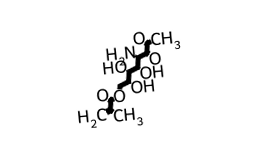 C=C(C)C(=O)OC[C@@H](O)[C@H](O)[C@H](O)[C@@H](N)C(=O)C(C)=O